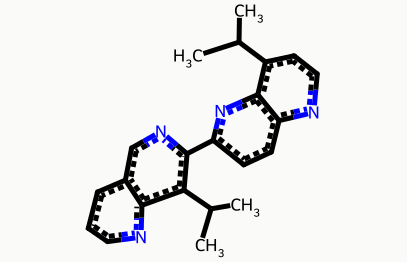 CC(C)c1c(-c2ccc3nccc(C(C)C)c3n2)ncc2cccnc12